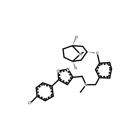 CN(Cc1cccc(O[C@@H]2C[C@H]3CC[C@@H](C2)N3C)c1)Cc1cc(-c2ccc(Cl)cc2)on1